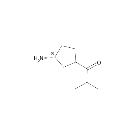 CC(C)C(=O)C1CC[C@@H](N)C1